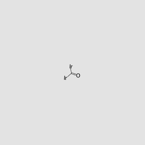 O=[C]([Ir])[Ir]